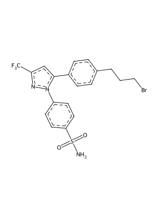 NS(=O)(=O)c1ccc(-n2nc(C(F)(F)F)cc2-c2ccc(CCCBr)cc2)cc1